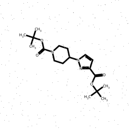 CC(C)(C)OC(=O)c1ccn(C2CCN(C(=O)OC(C)(C)C)CC2)n1